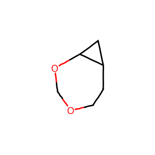 C1CC2CC2OCO1